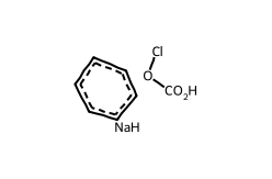 O=C(O)OCl.[NaH].c1ccccc1